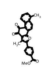 COC(=O)c1ccc(-c2oc3c(c2C)C(=O)C(=O)c2c-3ccc3c(C)cccc23)cc1